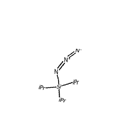 CC(C)[Si](N=[N+]=[N-])(C(C)C)C(C)C